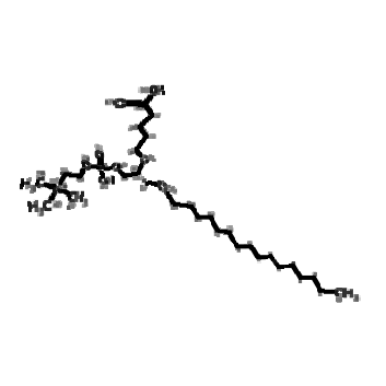 CCCCCCCCCCCCCCCCOC[C@H](COP(=O)(O)OCC[N+](C)(C)C)OCCCCC(=O)O